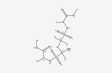 COC(=O)C(C)OS(=O)(=O)C(C)(C)CC(C)(S)S(=O)(=O)OC(C)C(=O)OC